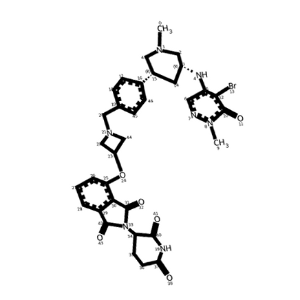 CN1C[C@H](Nc2cnn(C)c(=O)c2Br)C[C@H](c2ccc(CN3CC(Oc4cccc5c4C(=O)N(C4CCC(=O)NC4=O)C5=O)C3)cc2)C1